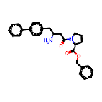 N[C@H](CC(=O)N1CCC[C@H]1C(=O)OCc1ccccc1)Cc1ccc(-c2ccccc2)cc1